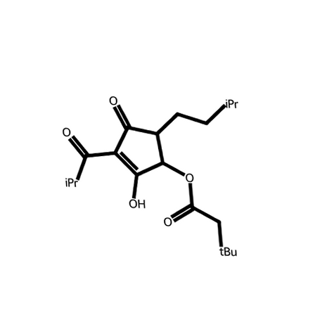 CC(C)CCC1C(=O)C(C(=O)C(C)C)=C(O)C1OC(=O)CC(C)(C)C